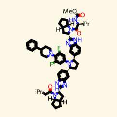 COC(=O)N[C@H](C(=O)N1[C@H](c2nc3cc([C@H]4CC[C@H](c5ccc6[nH]c([C@@H]7C[C@@H]8CCC[C@@H]8N7C(=O)[CH]C(C)C)nc6c5)N4c4cc(F)c(N5CCC(c6ccccc6)CC5)c(F)c4)ccc3[nH]2)C[C@@H]2CCC[C@@H]21)C(C)C